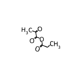 CCC(=O)OC(=O)C(C)=O